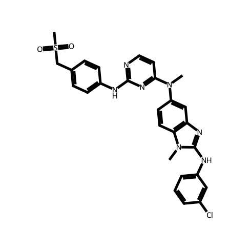 CN(c1ccc2c(c1)nc(Nc1cccc(Cl)c1)n2C)c1ccnc(Nc2ccc(CS(C)(=O)=O)cc2)n1